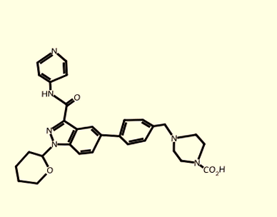 O=C(Nc1ccncc1)c1nn(C2CCCCO2)c2ccc(-c3ccc(CN4CCN(C(=O)O)CC4)cc3)cc12